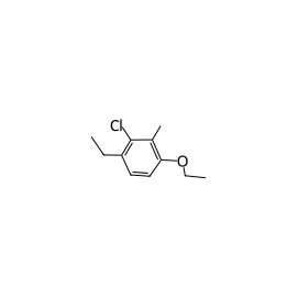 CCOc1ccc(CC)c(Cl)c1C